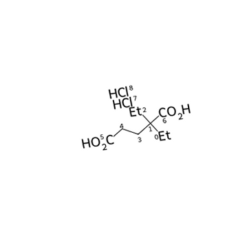 CCC(CC)(CCC(=O)O)C(=O)O.Cl.Cl